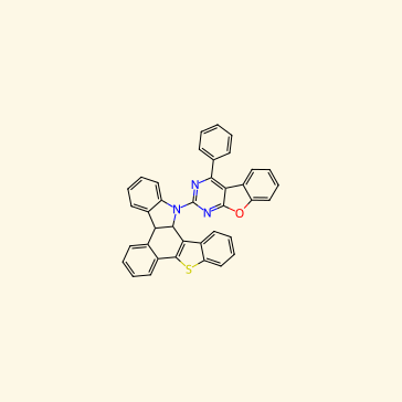 c1ccc(-c2nc(N3c4ccccc4C4c5ccccc5-c5sc6ccccc6c5C43)nc3oc4ccccc4c23)cc1